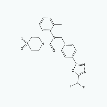 Cc1ccccc1N(Cc1ccc(-c2nnc(C(F)F)o2)cc1)C(=O)N1CCS(=O)(=O)CC1